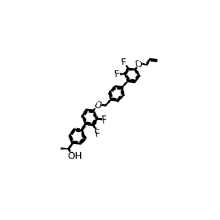 C=CCOc1ccc(-c2ccc(COc3ccc(-c4ccc(C(C)O)cc4)c(F)c3F)cc2)c(F)c1F